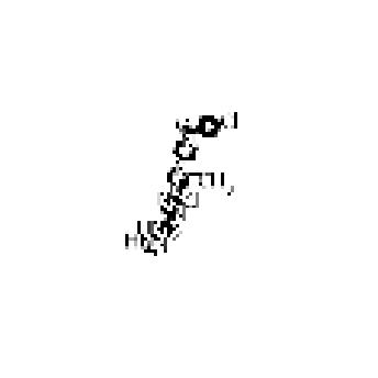 CC[C@H]1CN(c2ncc(C(=O)NC3=NCCN3)nc2Cl)CCN1C1CCN(C(=O)c2ccc(Cl)cc2)CC1